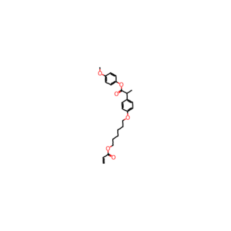 C=CC(=O)OCCCCCCOc1ccc(C(C)C(=O)Oc2ccc(OC)cc2)cc1